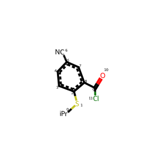 CC(C)Sc1ccc(C#N)cc1C(=O)Cl